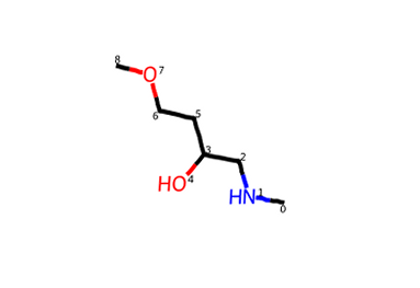 CNCC(O)CCOC